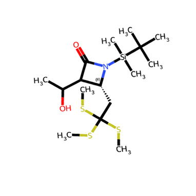 CSC(C[C@@H]1C(C(C)O)C(=O)N1[Si](C)(C)C(C)(C)C)(SC)SC